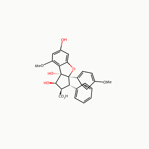 COc1ccc([C@@]23Oc4cc(O)cc(OC)c4[C@]2(O)[C@H](O)[C@H](C(=O)O)[C@H]3c2ccccc2)cc1